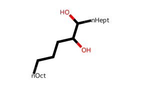 CCCCCCCCCCCC(O)C(O)CCCCCCC